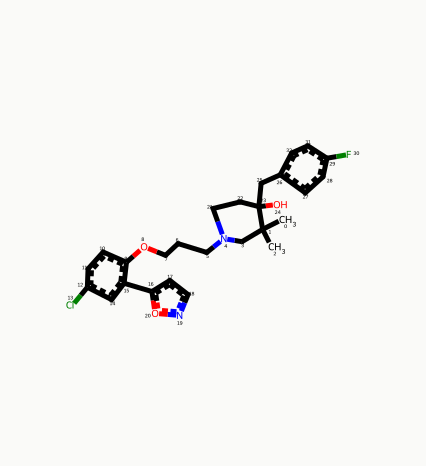 CC1(C)CN(CCCOc2ccc(Cl)cc2-c2ccno2)CCC1(O)Cc1ccc(F)cc1